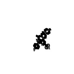 CC(C)c1nn(-c2ccc(F)cc2)c2nc(C(=O)O)cc(N3CCC(C)(N4CCN(C)CC4)CC3)c12